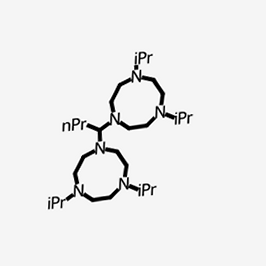 CCCC(N1CCN(C(C)C)CCN(C(C)C)CC1)N1CCN(C(C)C)CCN(C(C)C)CC1